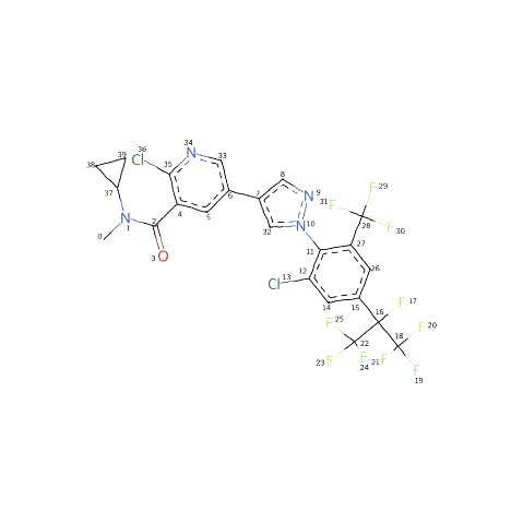 CN(C(=O)c1cc(-c2cnn(-c3c(Cl)cc(C(F)(C(F)(F)F)C(F)(F)F)cc3C(F)(F)F)c2)cnc1Cl)C1CC1